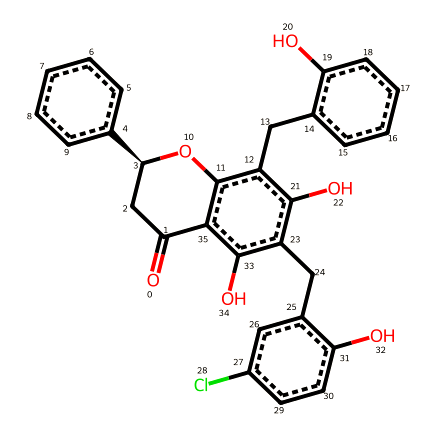 O=C1C[C@@H](c2ccccc2)Oc2c(Cc3ccccc3O)c(O)c(Cc3cc(Cl)ccc3O)c(O)c21